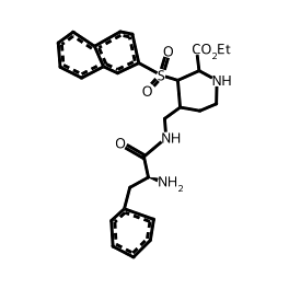 CCOC(=O)C1NCCC(CNC(=O)[C@@H](N)Cc2ccccc2)C1S(=O)(=O)c1ccc2ccccc2c1